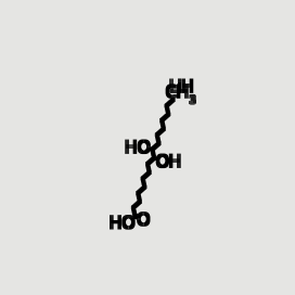 CCCCCCCCC(O)C(O)CCCCCCCC(=O)O.[LiH]